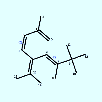 C=C(C)/C=C\C(/C=C(\C)C(C)(C)C)=C(C)C